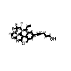 C=CCN(c1c(-c2c(C)cc(C#CCCCO)cc2F)c(Cl)nc2ncnn12)[C@@H](C)C(F)(F)F